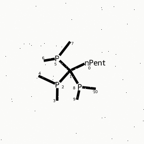 CCCCCC(P(C)C)(P(C)C)P(C)C